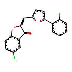 O=C1C(=Cc2ccc(-c3ccccc3Cl)o2)Oc2ccc(Cl)cc21